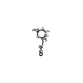 B[C@@H]1CC(=O)[C@@H](C)C(O)O[C@H](CC)[C@@]2(C)OC(=O)N(CCCCn3cc(-c4nc5ccccc5s4)nn3)[C@@H]2[C@@H](C)NC[C@H](C)C[C@@]1(C)OC